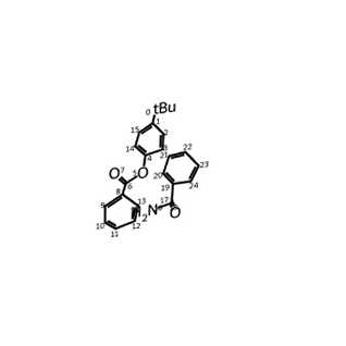 CC(C)(C)c1ccc(OC(=O)c2ccccc2)cc1.NC(=O)c1ccccc1